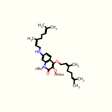 CCCCCCOc1c(OCC=C(C)CCC=C(C)C)c2ccc(NCC=C(C)CCC=C(C)C)cc2n(CCCC)c1=O